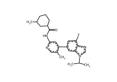 Cc1cnc(NC(=O)C2CCCC(C)C2)cc1-c1cc(F)c2ncn(C(C)C)c2c1